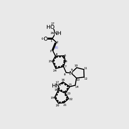 O=C(/C=C/c1ccc(CN2CCCC2Cc2c[nH]c3ccccc23)cc1)NO